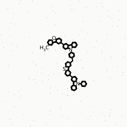 Cc1ccc2oc3ccc(-c4ccc5c(c4)c4ccccc4n5-c4ccc(Cc5ccc6sc7ccc(-c8ccc9c(c8)c8ccccc8n9-c8ccccc8)cc7c6c5)cc4)cc3c2c1